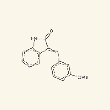 COc1cccc(/C=C2/C(=O)Nc3ccccc32)c1